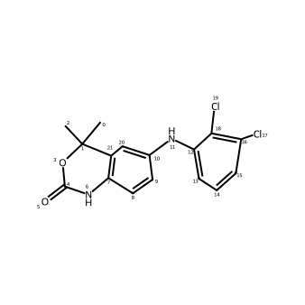 CC1(C)OC(=O)Nc2ccc(Nc3cccc(Cl)c3Cl)cc21